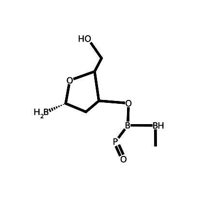 B[C@H]1CC(OB(BC)P=O)C(CO)O1